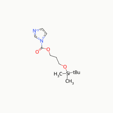 CC(C)(C)[Si](C)(C)OCCCOC(=O)n1ccnc1